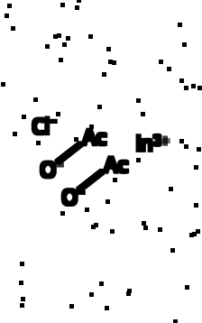 CC(=O)[O-].CC(=O)[O-].[Cl-].[In+3]